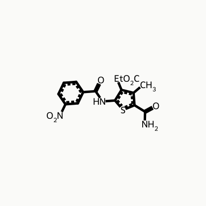 CCOC(=O)c1c(NC(=O)c2cccc([N+](=O)[O-])c2)sc(C(N)=O)c1C